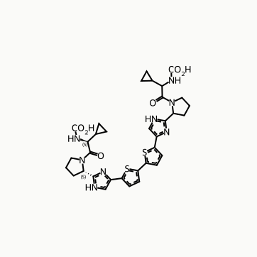 O=C(O)NC(C(=O)N1CCCC1c1nc(-c2ccc(-c3ccc(-c4c[nH]c([C@@H]5CCCN5C(=O)[C@@H](NC(=O)O)C5CC5)n4)s3)s2)c[nH]1)C1CC1